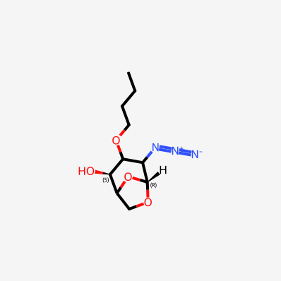 CCCCOC1C(N=[N+]=[N-])[C@@H]2OCC(O2)[C@H]1O